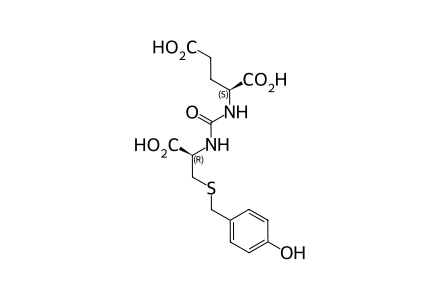 O=C(O)CC[C@H](NC(=O)N[C@@H](CSCc1ccc(O)cc1)C(=O)O)C(=O)O